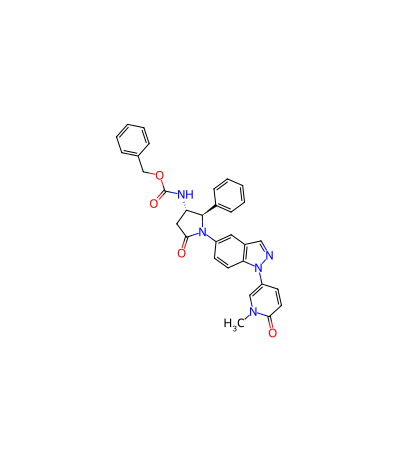 Cn1cc(-n2ncc3cc(N4C(=O)C[C@H](NC(=O)OCc5ccccc5)[C@H]4c4ccccc4)ccc32)ccc1=O